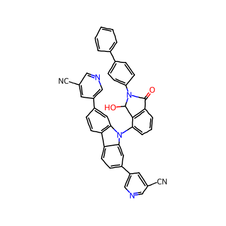 N#Cc1cncc(-c2ccc3c4ccc(-c5cncc(C#N)c5)cc4n(-c4cccc5c4C(O)N(c4ccc(-c6ccccc6)cc4)C5=O)c3c2)c1